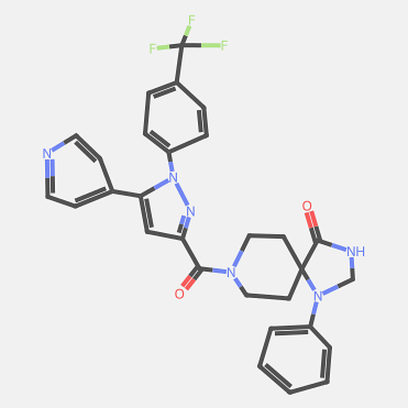 O=C(c1cc(-c2ccncc2)n(-c2ccc(C(F)(F)F)cc2)n1)N1CCC2(CC1)C(=O)NCN2c1ccccc1